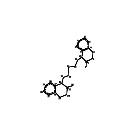 CN1CCc2ccccc2C1CCCCCC1c2ccccc2CCN1C